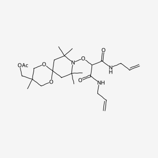 C=CCNC(=O)C(ON1C(C)(C)CC2(CC1(C)C)OCC(C)(COC(C)=O)CO2)C(=O)NCC=C